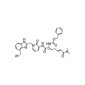 CC(C)Cc1cccc2[nH]c(Cn3cccc(NC(=O)[C@H](CC/C=C/C(=O)N(C)C)NC(=O)OCc4ccccc4)c3=O)nc12